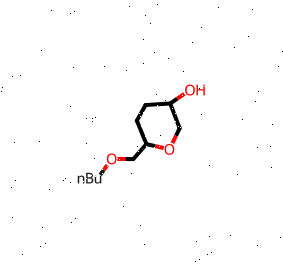 CCCCOCC1CCC(O)CO1